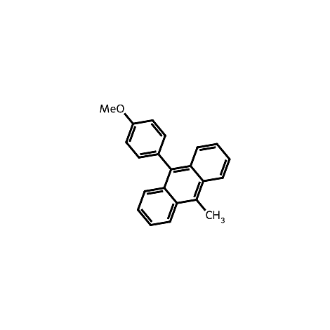 COc1ccc(-c2c3ccccc3c(C)c3ccccc23)cc1